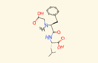 [2H]N(CC(=O)O)[C@@H](Cc1ccccc1)C(=O)N[C@@H](CC(C)C)C(=O)O